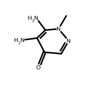 Cn1ncc(=O)c(N)c1N